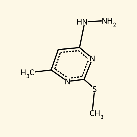 CSc1nc(C)cc(NN)n1